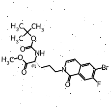 COC(=O)[C@@H](CCCn1ccc2cc(Br)c(F)cc2c1=O)NC(=O)OC(C)(C)C